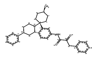 C[C@H]1CC[C@](c2cccc(NC(=O)C(=O)Cc3ccncc3)c2)(N2CCN(c3ccccc3)CC2)CC1